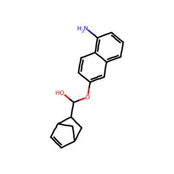 Nc1cccc2cc(OC(O)C3CC4C=CC3C4)ccc12